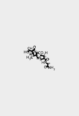 C[C@@H](O)C1C(=O)N2C(C(=O)O)=C(CN3CC[C@H](C(=O)NCC(N)=O)C3)[C@H](C)[C@H]12